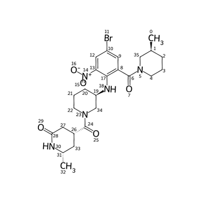 C[C@H]1CCCN(C(=O)c2cc(Br)cc([N+](=O)[O-])c2N[C@@H]2CCCN(C(=O)[C@H]3CC(=O)N[C@@H](C)C3)C2)C1